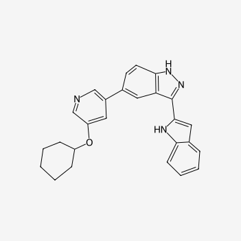 c1ccc2[nH]c(-c3n[nH]c4ccc(-c5cncc(OC6CCCCC6)c5)cc34)cc2c1